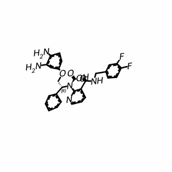 Nc1ccc(OC[C@@H](c2ccccc2)N(C(=O)O)c2ncccc2C(=O)NCc2ccc(F)c(F)c2)cc1N